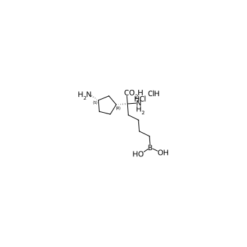 Cl.Cl.N[C@H]1CC[C@@H](C(N)(CCCCB(O)O)C(=O)O)C1